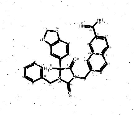 CC1(c2ccc3c(c2)OCO3)C(=O)N(Cc2ccc3ccc(C(=N)N)cc3c2)C(=O)N1Cc1ccccc1